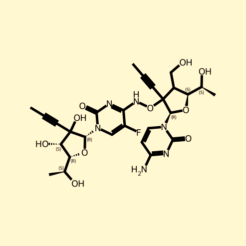 CC#CC1(ONc2nc(=O)n([C@@H]3O[C@H]([C@H](C)O)[C@H](O)C3(O)C#CC)cc2F)C(CO)[C@@H]([C@H](C)O)O[C@H]1n1ccc(N)nc1=O